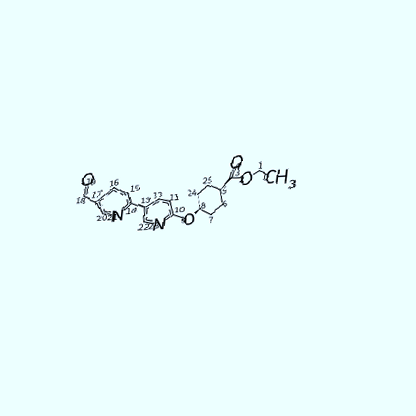 CCOC(=O)[C@H]1CC[C@@H](Oc2ccc(-c3ccc(C=O)cn3)cn2)CC1